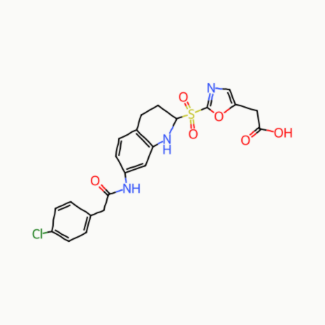 O=C(O)Cc1cnc(S(=O)(=O)C2CCc3ccc(NC(=O)Cc4ccc(Cl)cc4)cc3N2)o1